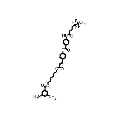 Nc1cc(N)cc(C(=O)OCCCCCCOC(=O)/C=C/c2ccc(OC(=O)c3ccc(NC(=O)CCCC(F)(F)C(F)(F)C(F)(F)F)cc3)cc2)c1